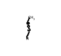 CCCCCc1ccc([C@H]2CC[C@H]([C@H]3CC[C@H](CCC=CC=CC#N)CC3)CC2)cc1